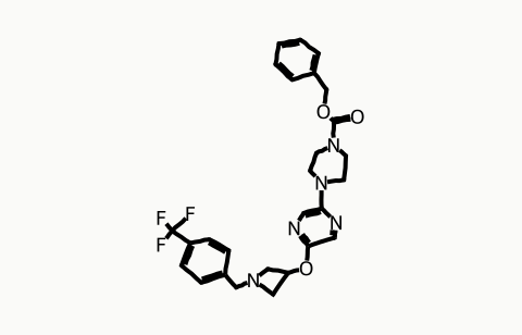 O=C(OCc1ccccc1)N1CCN(c2cnc(OC3CN(Cc4ccc(C(F)(F)F)cc4)C3)cn2)CC1